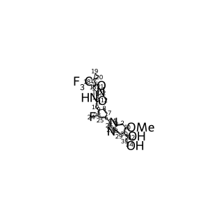 COc1cc2nc(-c3ccc(CC(=O)Nc4cc(C5(C(F)(F)F)CC5)on4)c(F)c3)cnc2cc1C(O)CO